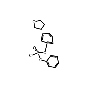 C1CCOC1.O=P(Cl)(Oc1ccccc1)Oc1ccccc1